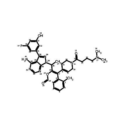 Cc1ccccc1/C(C1=CCN(C(=O)CCCN(C)C)CC1)=C(\OC=O)C(C)n1nc(-c2cc(O)cc(F)c2)c2c(N)ncnc21